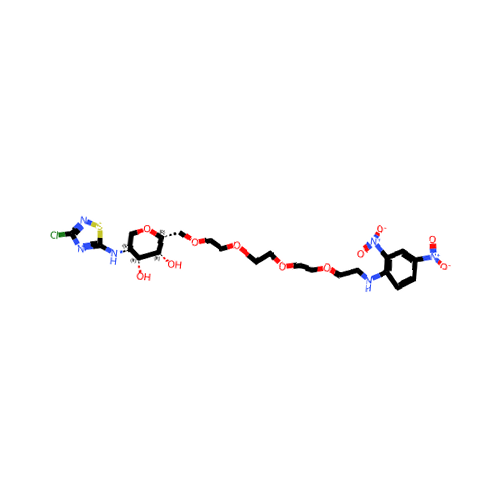 O=[N+]([O-])c1ccc(NCCOCCOCCOCCOC[C@H]2OC[C@@H](Nc3nc(Cl)ns3)[C@@H](O)[C@H]2O)c([N+](=O)[O-])c1